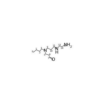 CCCCN(CCC=O)CCCNCCN